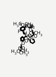 C=CC(=O)OCC(C)(C)C(=O)C(=O)N1CCCC[C@H]1C(=O)O[C@H](CCc1cc(OC)c(OC)cc1F)c1cccc(OCC(=O)OC(C)(C)C)c1